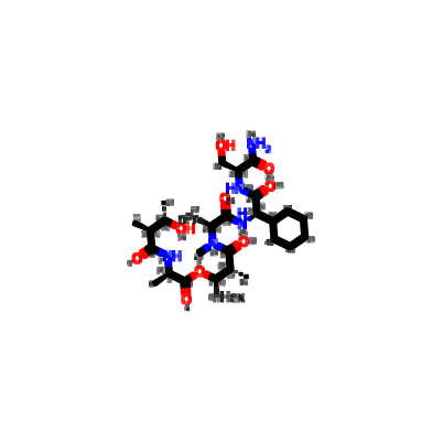 CCCCCC[C@@H](OC(=O)[C@@H](C)NC(=O)[C@@H](C)[C@H](C)O)[C@@H](C)C(=O)N(C)[C@@H](CCC)C(=O)N[C@H](C(=O)N[C@@H](CO)C(N)=O)C1CCCCC1